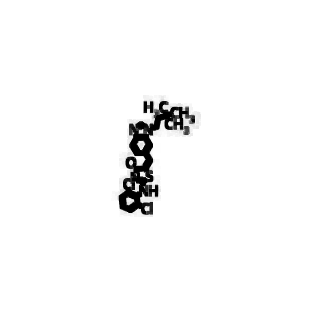 CC(C)(C)CCn1cnc2ccc(C=C3SC(Nc4c(Cl)cccc4Cl)=NC3=O)cc21